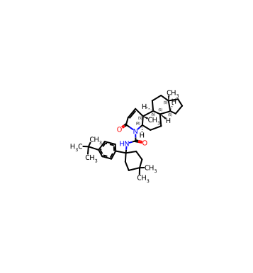 CC1(C)CCC(NC(=O)N2C(=O)C=C[C@]3(C)[C@H]4CC[C@]5(C)CCC[C@H]5[C@@H]4CC[C@@H]23)(c2ccc(C(C)(C)C)cc2)CC1